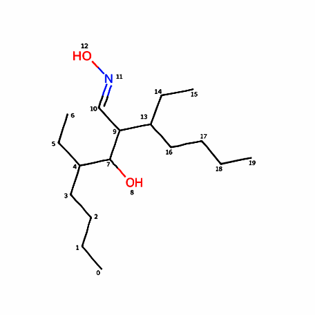 CCCCC(CC)C(O)C(C=NO)C(CC)CCCC